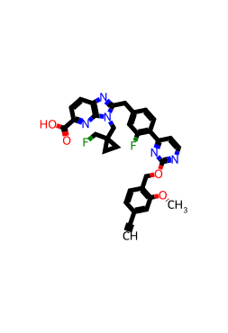 C#Cc1ccc(COc2nccc(-c3ccc(Cc4nc5ccc(C(=O)O)nc5n4CC4(CF)CC4)cc3F)n2)c(OC)c1